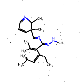 C=C(C)/C=C(/CC)C(=C(C)C)C(=N/NC)/N=C/C1(C)C=CC=NC1C